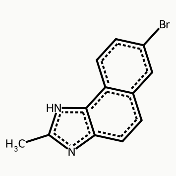 Cc1nc2ccc3cc(Br)ccc3c2[nH]1